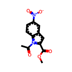 COC(=O)c1cc2cc([N+](=O)[O-])ccc2n1C(C)=O